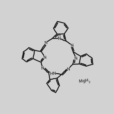 [MgH2].c1ccc2c(c1)-c1nc-2nc2[nH]c(nc3nc(nc4[nH]c(n1)c1ccccc41)-c1ccccc1-3)c1ccccc21